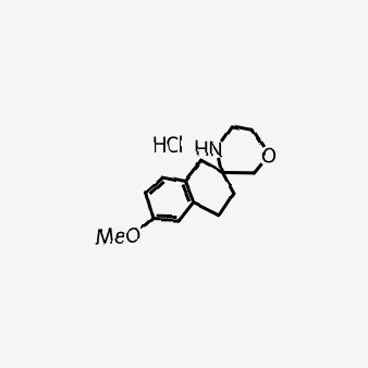 COc1ccc2c(c1)CCC1(COCCN1)C2.Cl